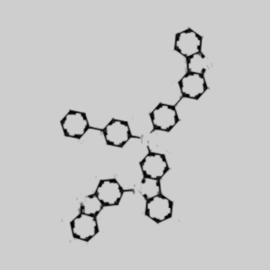 c1ccc(-c2ccc(N(c3ccc(-c4ccc5sc6ccccc6c5c4)cc3)c3ccc4c5ccccc5n(-c5ccc6oc7ccccc7c6c5)c4c3)cc2)cc1